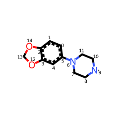 c1cc2c(cc1N1CC[N]CC1)OCO2